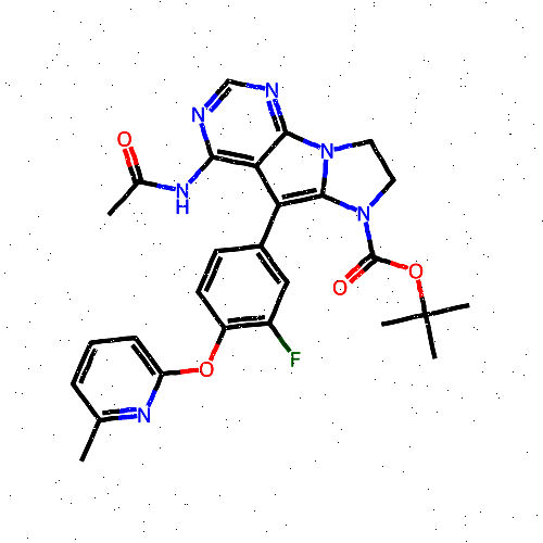 CC(=O)Nc1ncnc2c1c(-c1ccc(Oc3cccc(C)n3)c(F)c1)c1n2CCN1C(=O)OC(C)(C)C